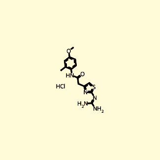 COc1ccc(NC(=O)Cc2csc(N=C(N)N)n2)c(C)c1.Cl